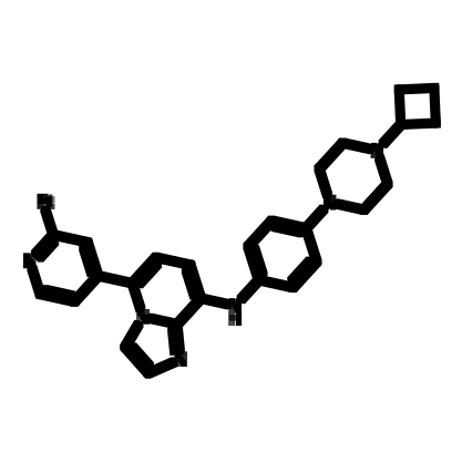 CCc1cc(-c2ccc(Nc3ccc(N4CCN(C5CCC5)CC4)cc3)c3nccn23)ccn1